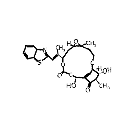 C/C(=C\C1=NC2C=CC=CC2S1)[C@@H]1C[C@@H]2O[C@]2(C)CCC[C@@H]2C=C(C(=O)[C@H](C)[C@H]2O)[C@@H](O)CC(=O)O1